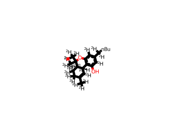 [2H]C1=C(C([2H])([2H])[2H])C([2H])([2H])C([2H])([2H])[C@]2([2H])[C@@H]1c1c(O)c([2H])c(C([2H])([2H])CCCC)c([2H])c1OC2(C([2H])([2H])[2H])C([2H])([2H])[2H]